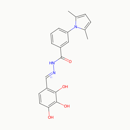 Cc1ccc(C)n1-c1cccc(C(=O)N/N=C/c2ccc(O)c(O)c2O)c1